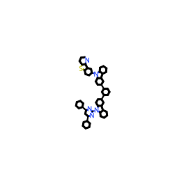 c1ccc(-c2cc(-c3ccccc3)nc(-n3c4ccccc4c4cc(-c5cccc(-c6ccc7c(c6)c6ccccc6n7-c6ccc7sc8cccnc8c7c6)c5)ccc43)n2)cc1